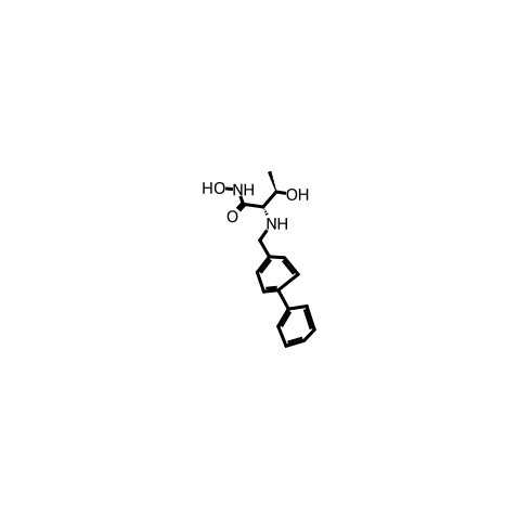 C[C@@H](O)[C@H](NCc1ccc(-c2ccccc2)cc1)C(=O)NO